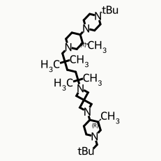 C[C@@H]1CN(CC(C)(C)CCC(C)(C)N2CC3(CN(C4CCN(CC(C)(C)C)C[C@H]4C)C3)C2)CCC1N1CCN(C(C)(C)C)CC1